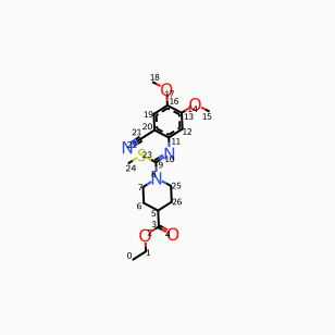 CCOC(=O)C1CCN(C(=Nc2cc(OC)c(OC)cc2C#N)SC)CC1